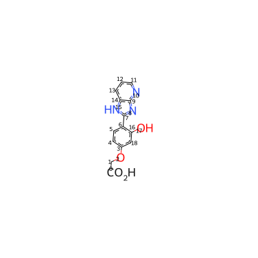 O=C(O)COc1ccc(-c2nc3ncccc3[nH]2)c(O)c1